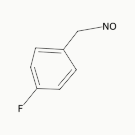 O=NCc1ccc(F)cc1